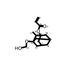 C=CC(=O)OC12CC3CC(CC(OCO)(C3)C1C)C2